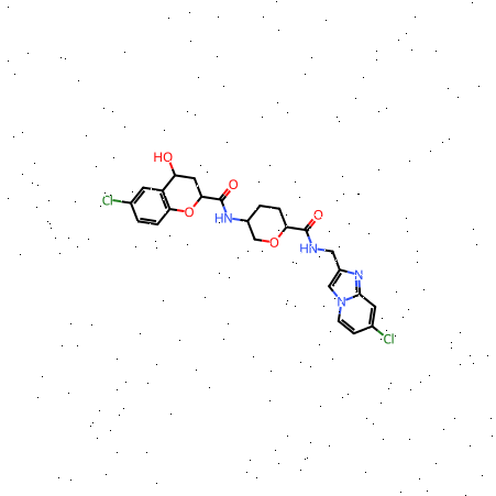 O=C(NCc1cn2ccc(Cl)cc2n1)C1CCC(NC(=O)C2CC(O)c3cc(Cl)ccc3O2)CO1